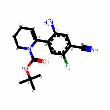 CC(C)(C)OC(=O)N1CCCC=C1c1cc(F)c(C#N)cc1N